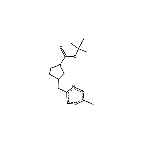 Cc1ccc(CC2CCN(C(=O)OC(C)(C)C)C2)nn1